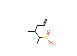 C=CCC(C)C(C)S(=O)O